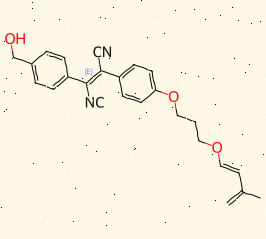 [C-]#[N+]/C(=C(/C#N)c1ccc(OCCCOC=CC(=C)C)cc1)c1ccc(CO)cc1